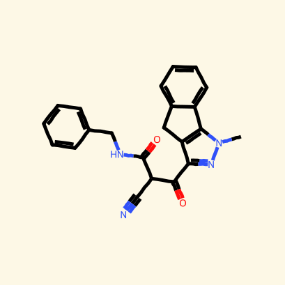 Cn1nc(C(=O)C(C#N)C(=O)NCc2ccccc2)c2c1-c1ccccc1C2